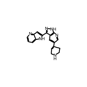 C1=C(c2cnc3[nH]nc(-c4cc5ncccc5[nH]4)c3c2)CCNC1